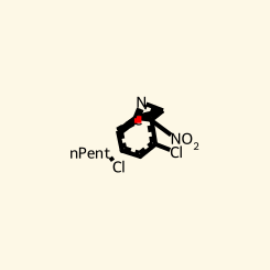 CCCCCCl.O=[N+]([O-])c1cc2ccc(Cl)c3c1nc23